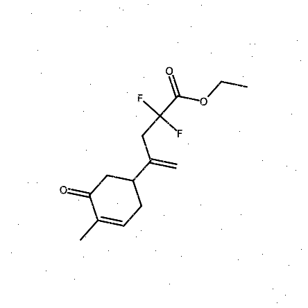 C=C(CC(F)(F)C(=O)OCC)C1CC=C(C)C(=O)C1